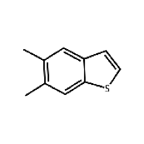 Cc1cc2ccsc2cc1C